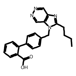 CCCCc1nc2cnncc2n1Cc1ccc(-c2ccccc2C(=O)O)cc1